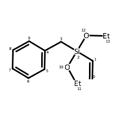 C=C[Si](Cc1ccccc1)(OCC)OCC